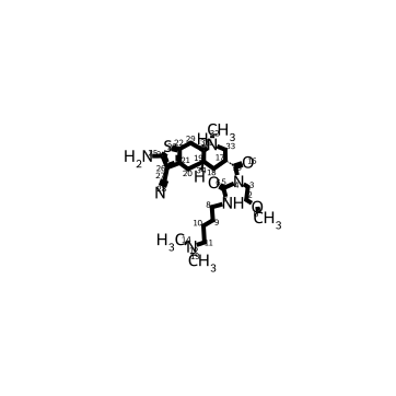 COCCN(C(=O)NCCCCN(C)C)C(=O)[C@@H]1C[C@@H]2Cc3c(sc(N)c3C#N)C[C@H]2N(C)C1